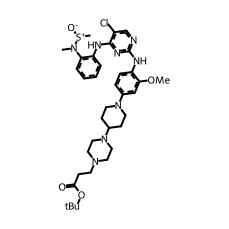 COc1cc(N2CCC(N3CCN(CCC(=O)OC(C)(C)C)CC3)CC2)ccc1Nc1ncc(Cl)c(Nc2ccccc2N(C)[S+](C)[O-])n1